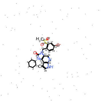 C[C@@H]1CCCC[C@@H]1n1c(=O)n(Cc2ccc(Br)cc2S(C)(=O)=O)c2cnc3[nH]ccc3c21